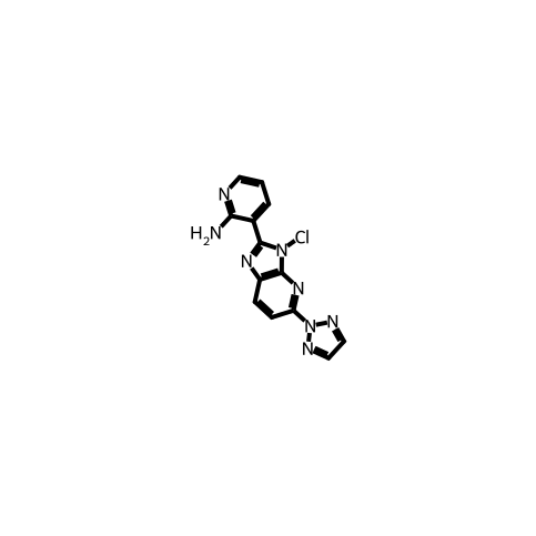 Nc1ncccc1-c1nc2ccc(-n3nccn3)nc2n1Cl